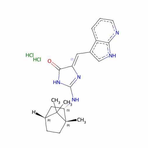 CC1(C)[C@@H]2CC[C@@]1(C)[C@@H](NC1=N/C(=C\c3c[nH]c4ncccc34)C(=O)N1)C2.Cl.Cl